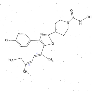 CC/C(C)=C\C=C(/C)c1oc(C2CCN(C(=O)NO)CC2)nc1-c1ccc(Cl)cc1